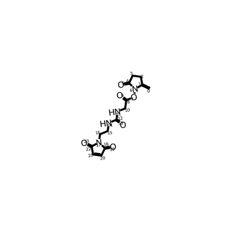 C=C1CCC(=O)N1OC(=O)CNC(=O)NCCN1C(=O)C=CC1=O